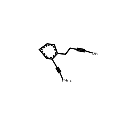 CCCCCCC#Cc1ccccc1CCC#CO